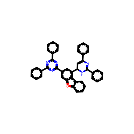 C1=C(c2ccccc2)N=C(c2ccccc2)NC1c1cc(-c2nc(-c3ccccc3)nc(-c3ccccc3)n2)cc2oc3ccccc3c12